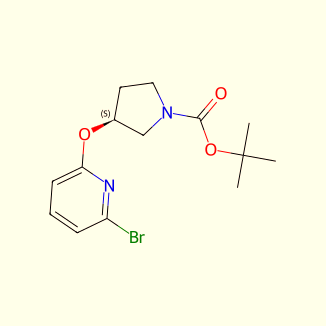 CC(C)(C)OC(=O)N1CC[C@H](Oc2cccc(Br)n2)C1